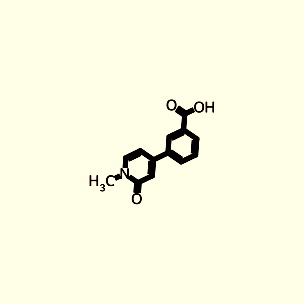 Cn1ccc(-c2cccc(C(=O)O)c2)cc1=O